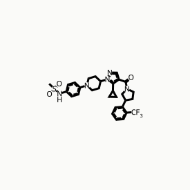 CS(=O)(=O)Nc1ccc(N2CCC(n3ncc(C(=O)N4CCC(c5ccccc5C(F)(F)F)C4)c3C3CC3)CC2)cc1